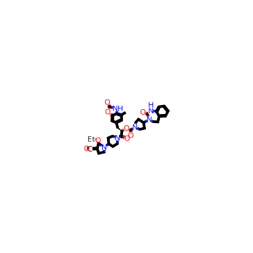 CCO[C@@H]1C(=C=O)CCN1C1CCN(C(=O)[C@@H](Cc2cc(C)c3[nH]c(=O)oc3c2)OC(=O)N2CCC(N3CCc4ccccc4NC3=O)CC2)CC1